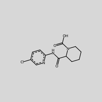 O=C(Nc1ccc(Cl)cn1)C1CCCCN1C(=O)O